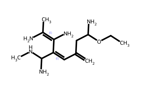 C=C(/C=C(\C(N)=C(\C)N)C(N)NC)CC(N)OCC